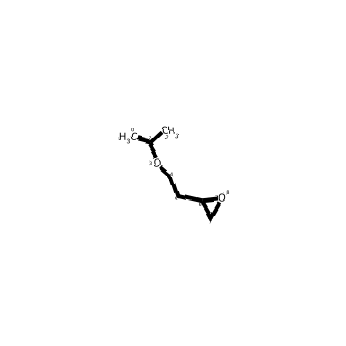 CC(C)OCCC1CO1